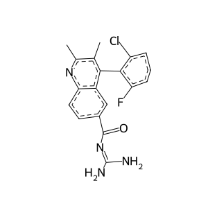 Cc1nc2ccc(C(=O)N=C(N)N)cc2c(-c2c(F)cccc2Cl)c1C